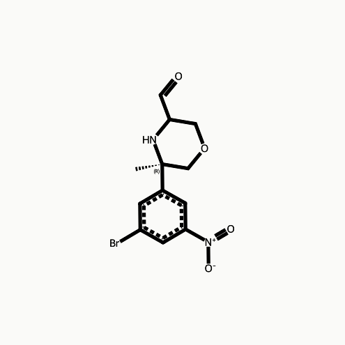 C[C@@]1(c2cc(Br)cc([N+](=O)[O-])c2)COCC(C=O)N1